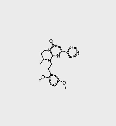 COc1ccc(OC)c(CCN2c3nc(-c4ccncc4)cc(=O)n3CCC2C)c1